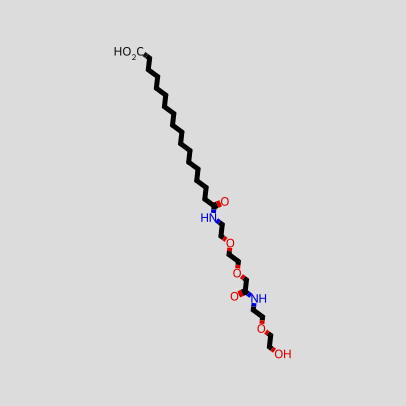 O=C(O)CCCCCCCCCCCCCCCCC(=O)NCCOCCOCC(=O)NCCOCCO